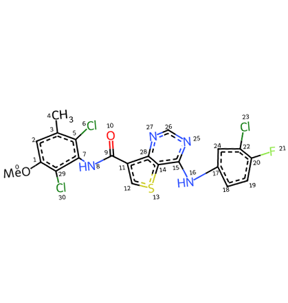 COc1cc(C)c(Cl)c(NC(=O)c2csc3c(Nc4ccc(F)c(Cl)c4)ncnc23)c1Cl